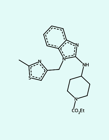 CCOC(=O)N1CCC(Nc2nc3ccccc3n2Cc2csc(C)n2)CC1